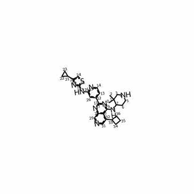 CC1(C)CNCCC1Nc1nc(-c2ccnc(Nc3nc(C4CC4)cs3)c2)nc2cncc(C3CCC3)c12